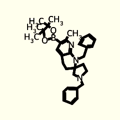 Cc1nc2c(cc1B1OC(C)(C)C(C)(C)O1)CCC1(CCN(Cc3ccccc3)C1)N2Cc1ccccc1